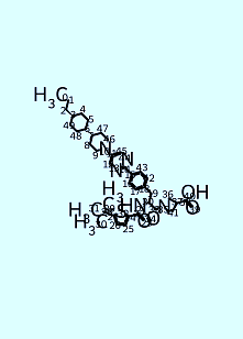 CCC[C@H]1CC[C@H](C2CCN(c3cnc(-c4ccc(CC(NC(=O)c5ccc(C(C)(C)C)s5)C(=O)N5CC(C(=O)O)C5)cc4)nc3)CC2)CC1